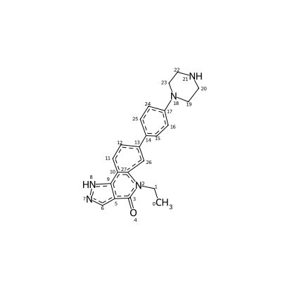 CCn1c(=O)c2cn[nH]c2c2ccc(-c3ccc(N4CCNCC4)cc3)cc21